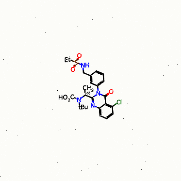 CCS(=O)(=O)NCc1cccc(-n2c([C@H](C)N(C(=O)O)C(C)(C)C)nc3cccc(Cl)c3c2=O)c1